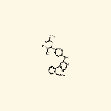 CCN(CC)C(CC(N)=O)c1ccc(Nc2cc(-c3ccccc3OC)ncn2)cc1